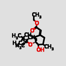 CCOC(=O)/C=C1/C[C@@H](C)C(O)[C@H](O[Si](C)(C)C(C)(C)C)C1